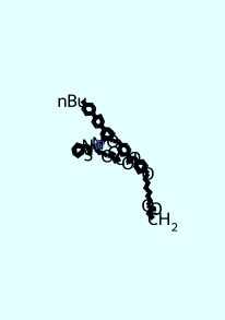 C=CC(=O)OCCCCCCOc1ccc(OC(=O)C2CCC(COc3ccc(C4CCC(C5CCC(CCCC)CC5)CC4)cc3/C=N/N(CCOC(=O)C=C)c3nc4ccccc4s3)CC2)cc1